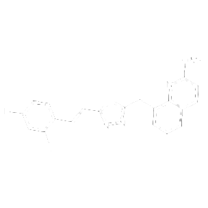 COc1ccc2cccc(Cc3nnc(/C=C/c4ccc(F)cc4Cl)o3)c2n1